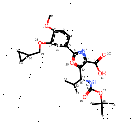 COc1ccc(-c2nc(C(=O)O)c([C@@H](NC(=O)OC(C)(C)C)C(C)C)o2)cc1OCC1CC1